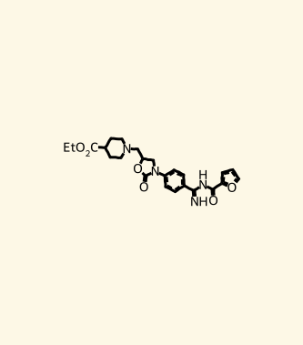 CCOC(=O)C1CCN(CC2CN(c3ccc(C(=N)NC(=O)c4ccco4)cc3)C(=O)O2)CC1